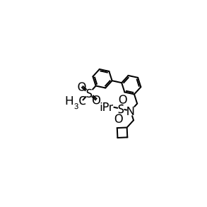 CC(C)S(=O)(=O)N(Cc1cccc(-c2cccc(S(C)(=O)=O)c2)c1)CC1CCC1